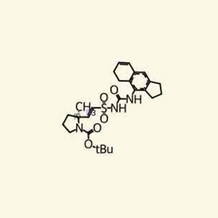 CC(C)(C)OC(=O)N1CCC[C@@]1(C)/C=C/S(=O)(=O)NC(=O)Nc1c2c(cc3c1CCC3)C=CCC2